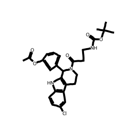 CC(=O)Oc1cccc(C2c3[nH]c4ccc(Cl)cc4c3CCN2C(=O)CCNC(=O)OC(C)(C)C)c1